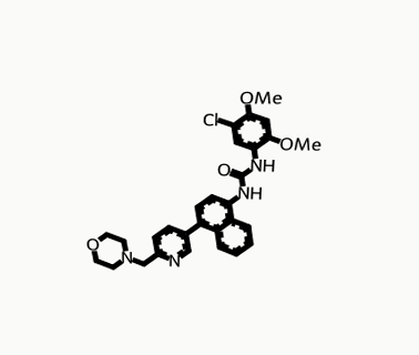 COc1cc(OC)c(NC(=O)Nc2ccc(-c3ccc(CN4CCOCC4)nc3)c3ccccc23)cc1Cl